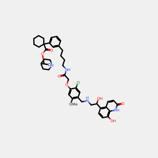 COc1cc(OCC(=O)NCCCCc2cccc(C3(C(=O)OC4CN5CCC4CC5)CCCCC3)c2)c(Cl)cc1CNCC(O)c1ccc(O)c2[nH]c(=O)ccc12